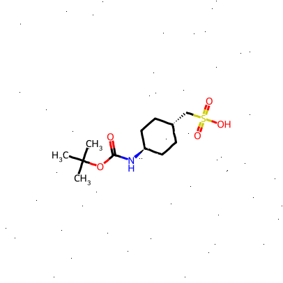 CC(C)(C)OC(=O)N[C@H]1CC[C@H](CS(=O)(=O)O)CC1